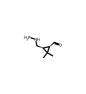 CC1(C)[C@H](C=O)[C@@H]1CNP